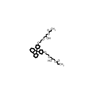 C=CC(=O)OCC(O)COCCOc1ccc(C2(c3ccc(OCCOCC(O)COC(=O)C=C)cc3)c3ccccc3-c3ccccc32)cc1